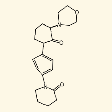 O=C1C(c2ccc(N3CCCCC3=O)cc2)CCCC1N1CCOCC1